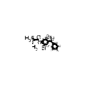 C=C(C)C(=O)Oc1cc(Br)c(C(=O)c2ccccc2)cc1Br